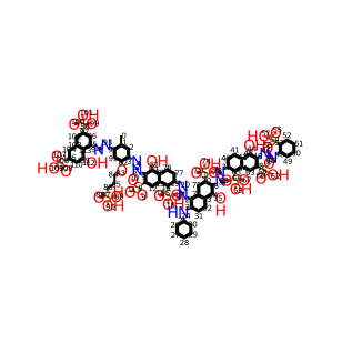 Cc1cc(N=Nc2c(S(=O)(=O)O)cc3c(S(=O)(=O)O)c(N=Nc4c(Nc5ccccc5)ccc5c(O)c(N=Nc6ccc7c(O)c(N=Nc8ccccc8S(=O)(=O)O)c(S(=O)(=O)O)cc7c6S(=O)(=O)O)c(S(=O)(=O)O)cc45)ccc3c2O)c(OCCCS(=O)(=O)O)cc1N=Nc1cc(S(=O)(=O)O)cc2cc(S(=O)(=O)O)cc(O)c12